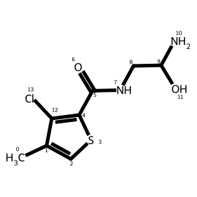 Cc1csc(C(=O)NCC(N)O)c1Cl